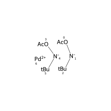 CC(=O)O[N-]C(C)(C)C.CC(=O)O[N-]C(C)(C)C.[Pd+2]